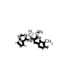 Cc1c(F)ccc2cc([C@H](C)Nc3ncnn4cccc34)c(SC(C)C)nc12